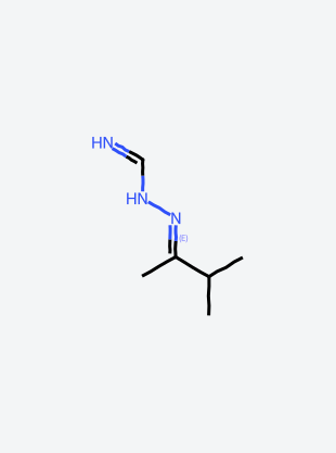 C/C(=N\NC=N)C(C)C